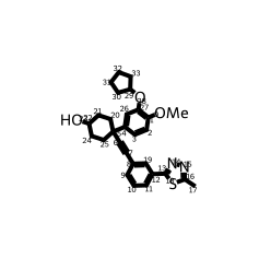 COc1ccc(C2(C#Cc3cccc(-c4nnc(C)s4)c3)CCC(O)CC2)cc1OC1CCCC1